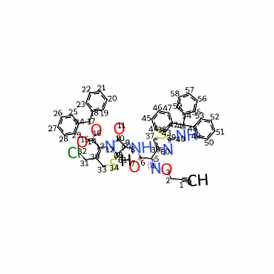 C#CCO/N=C(/C(=O)N[C@@H]1C(=O)N2C(C(=O)OC(c3ccccc3)c3ccccc3)=C(CCl)CS[C@H]12)c1csc(NC(c2ccccc2)(c2ccccc2)c2ccccc2)n1